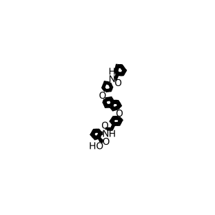 O=C(Cc1ccc(Oc2ccc3cc(OC4CCC(NC(=O)c5ccccc5)CC4)ccc3c2)cc1)Nc1ccccc1C(=O)O